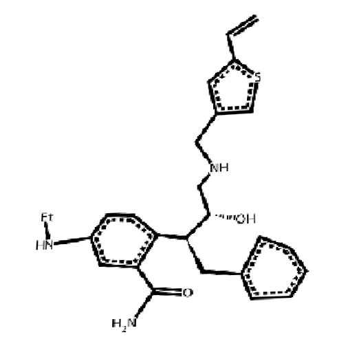 C=Cc1cc(CNC[C@H](O)[C@@H](Cc2ccccc2)c2ccc(NCC)cc2C(N)=O)cs1